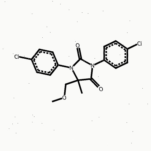 COCC1(C)C(=O)N(c2ccc(Cl)cc2)C(=O)N1c1ccc(Cl)cc1